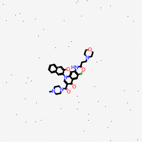 CN1CCN(C(=O)c2cn3c4c(c(NC(=O)CCN5CCOCC5)c(F)cc4c2=O)Oc2cc4ccccc4cc2-3)CC1